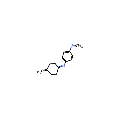 C=Nc1ccc(N=C2CCC(=C)CC2)cc1